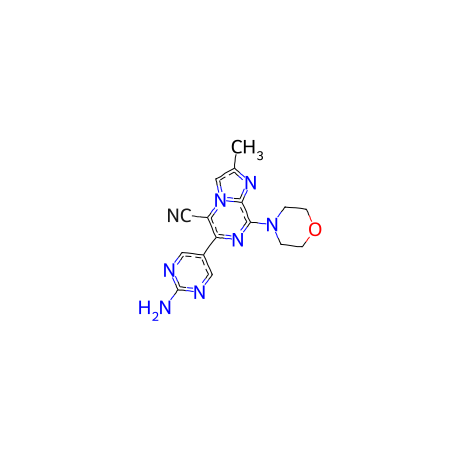 Cc1cn2c(C#N)c(-c3cnc(N)nc3)nc(N3CCOCC3)c2n1